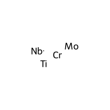 [Cr].[Mo].[Nb].[Ti]